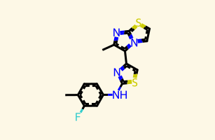 Cc1ccc(Nc2nc(-c3c(C)nc4sccn34)cs2)cc1F